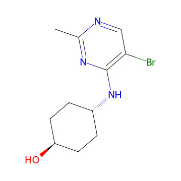 Cc1ncc(Br)c(N[C@H]2CC[C@H](O)CC2)n1